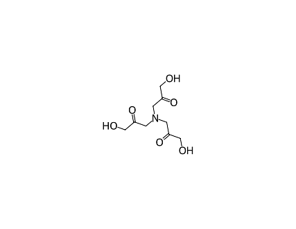 O=C(CO)CN(CC(=O)CO)CC(=O)CO